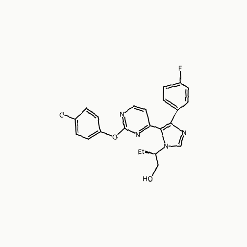 CC[C@H](CO)n1cnc(-c2ccc(F)cc2)c1-c1ccnc(Oc2ccc(Cl)cc2)n1